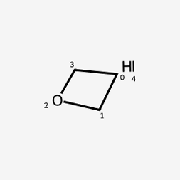 C1COC1.I